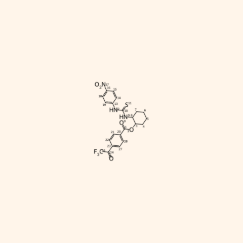 O=C(OC1CCCCC1NC(=S)Nc1ccc([N+](=O)[O-])cc1)c1ccc(C(=O)C(F)(F)F)cc1